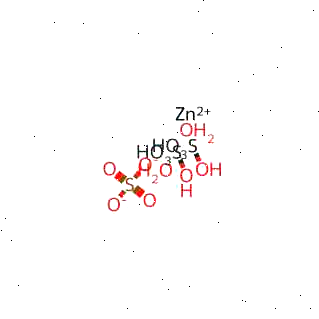 O.O.O=S(=O)(O)O.O=S(=O)(O)O.O=S(=O)([O-])[O-].[Zn+2]